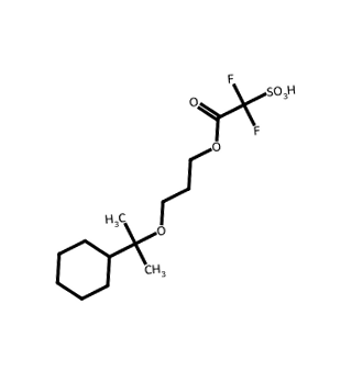 CC(C)(OCCCOC(=O)C(F)(F)S(=O)(=O)O)C1CCCCC1